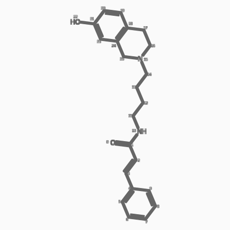 O=C(C=Cc1ccccc1)NCCCCN1CCc2ccc(O)cc2C1